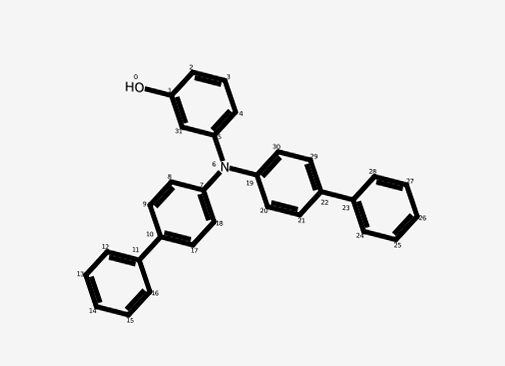 Oc1cccc(N(c2ccc(-c3ccccc3)cc2)c2ccc(-c3ccccc3)cc2)c1